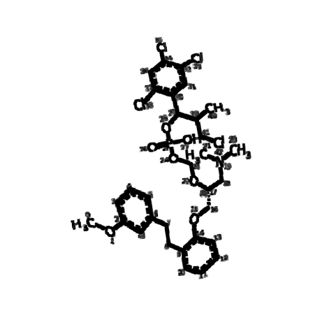 COc1cccc(CCc2ccccc2OC[C@@H](CN(C)C)OCOP(=O)(O)OC(c2cc(Cl)c(Cl)cc2Cl)C(C)CCl)c1